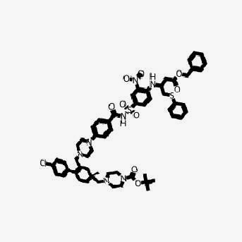 CC(C)(C)OC(=O)N1CCN(C[C@]2(C)CCC(c3ccc(Cl)cc3)=C(CN3CCN(c4ccc(C(=O)NS(=O)(=O)c5ccc(NC(CSc6ccccc6)CC(=O)OCc6ccccc6)c([N+](=O)[O-])c5)cc4)CC3)C2)CC1